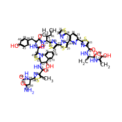 C=C(NC(=O)C(=C)NC(=O)c1csc(-c2ccc(-c3nccs3)c(-c3csc(-c4csc(C(NC(=O)C(Cc5ccc(O)cc5)NC(=O)c5csc(C(NC(=O)c6nc(C(CC(N)=O)NC=O)sc6C)C(O)c6ccccc6)n5)C(C)CC)n4)n3)n2)n1)C(=O)O